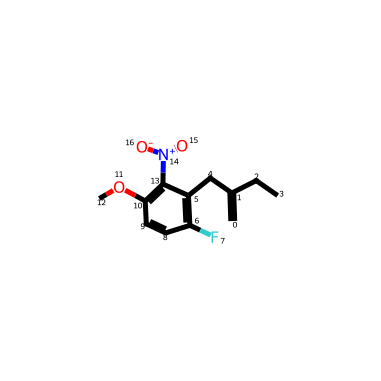 C=C(CC)Cc1c(F)ccc(OC)c1[N+](=O)[O-]